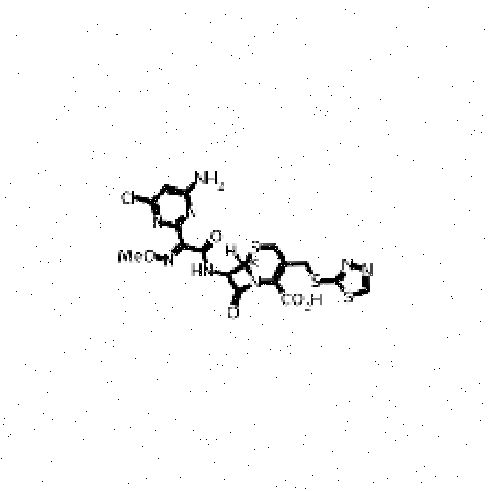 CON=C(C(=O)NC1C(=O)N2C(C(=O)O)=C(CSc3nncs3)CS[C@@H]12)c1nc(N)cc(Cl)n1